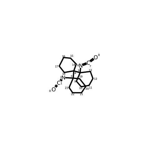 O=C=NC1(C2(C3(N=C=O)CCCCC3)CCCCC2)CCCCC1